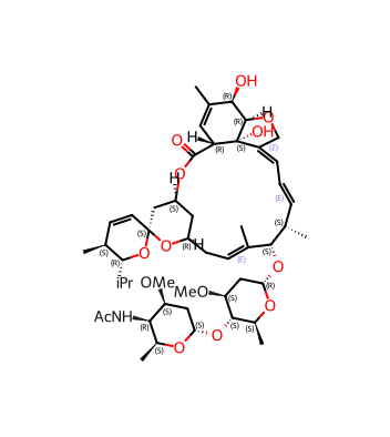 CO[C@H]1C[C@H](O[C@H]2[C@H](C)O[C@@H](O[C@@H]3/C(C)=C/C[C@@H]4C[C@@H](C[C@]5(C=C[C@H](C)[C@@H](C(C)C)O5)O4)OC(=O)[C@@H]4C=C(C)[C@@H](O)[C@H]5OC/C(=C/C=C/[C@@H]3C)[C@]54O)C[C@@H]2OC)O[C@@H](C)[C@H]1NC(C)=O